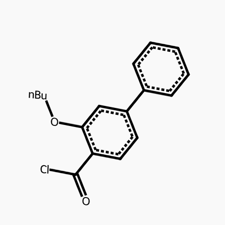 CCCCOc1cc(-c2ccccc2)ccc1C(=O)Cl